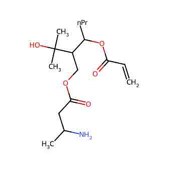 C=CC(=O)OC(CCC)C(COC(=O)CC(C)N)C(C)(C)O